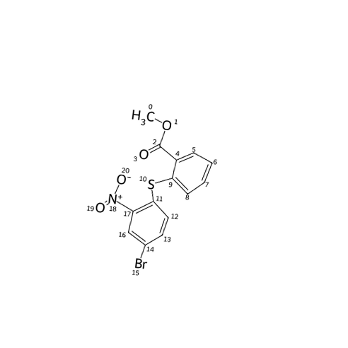 COC(=O)c1ccccc1Sc1ccc(Br)cc1[N+](=O)[O-]